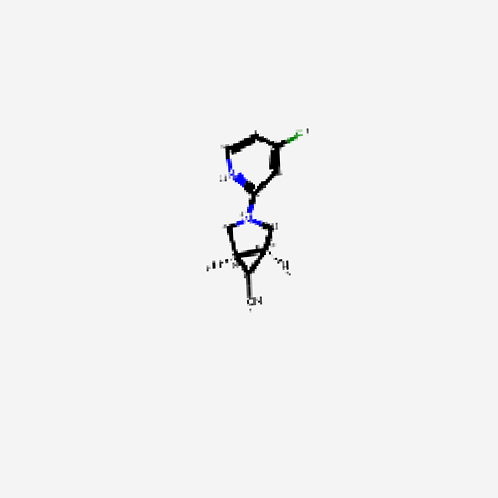 N#CC1[C@H]2CN(c3cc(F)ccn3)C[C@@H]12